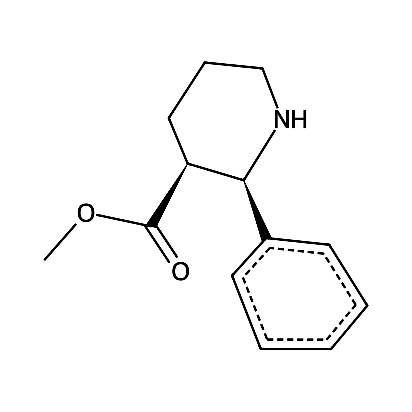 COC(=O)[C@H]1CCCN[C@H]1c1ccccc1